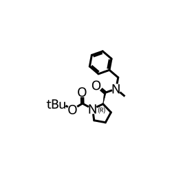 CN(Cc1ccccc1)C(=O)[C@H]1CCCN1C(=O)OC(C)(C)C